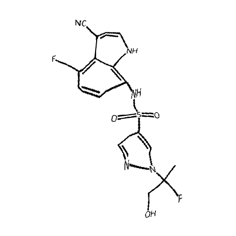 CC(F)(CO)n1cc(S(=O)(=O)Nc2ccc(F)c3c(C#N)c[nH]c23)cn1